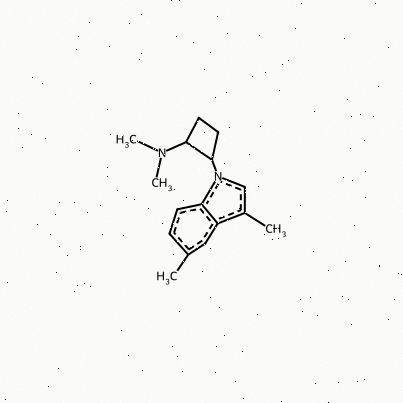 Cc1ccc2c(c1)c(C)cn2C1CCC1N(C)C